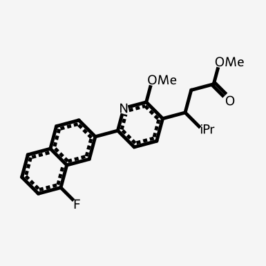 COC(=O)CC(c1ccc(-c2ccc3cccc(F)c3c2)nc1OC)C(C)C